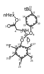 CCCCCCOC(=O)CNP(=O)(Oc1ccc(C(C)(C)C)cc1)Oc1c(F)c(F)c(F)c(F)c1F